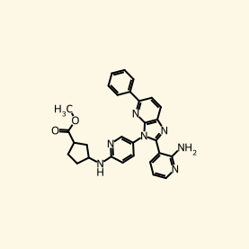 COC(=O)C1CCC(Nc2ccc(-n3c(-c4cccnc4N)nc4ccc(-c5ccccc5)nc43)cn2)C1